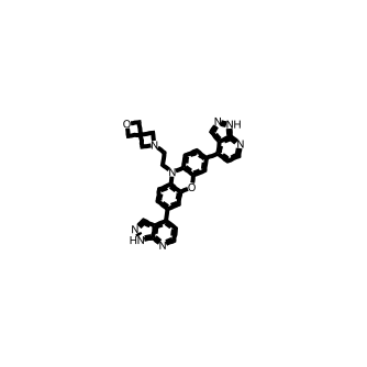 c1cc(-c2ccc3c(c2)Oc2cc(-c4ccnc5[nH]ncc45)ccc2N3CCN2CC3(COC3)C2)c2cn[nH]c2n1